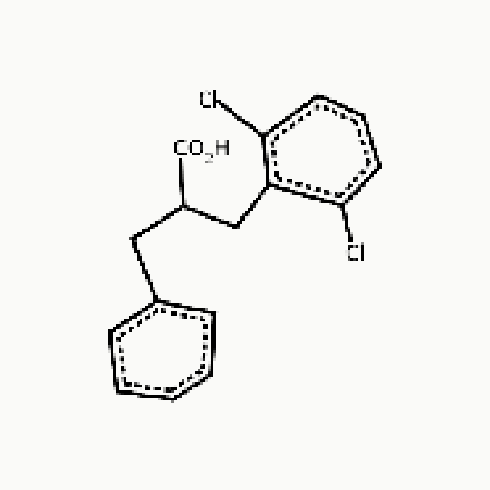 O=C(O)C(Cc1ccccc1)Cc1c(Cl)cccc1Cl